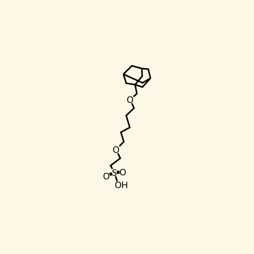 O=S(=O)(O)CCOCCCCCOCC12CC3CC(CC(C3)C1)C2